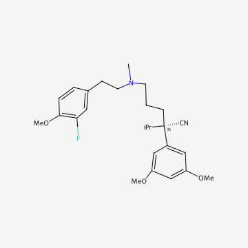 COc1cc(OC)cc([C@](C#N)(CCCN(C)CCc2ccc(OC)c(F)c2)C(C)C)c1